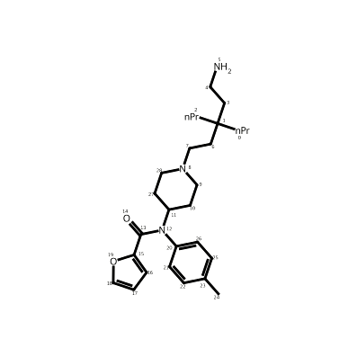 CCCC(CCC)(CCN)CCN1CCC(N(C(=O)c2ccco2)c2ccc(C)cc2)CC1